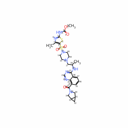 COC(=O)Nc1nc(C)c(S(=O)(=O)N2CCN(CC(C)Nc3ncnc4c(C(=O)N5CC6CC6C5)cccc34)CC2)s1